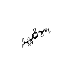 NC(=O)Cn1ccc(-c2nnc(C(F)F)o2)cc1=O